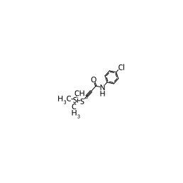 C[Si](C)(C)SC#CC(=O)Nc1ccc(Cl)cc1